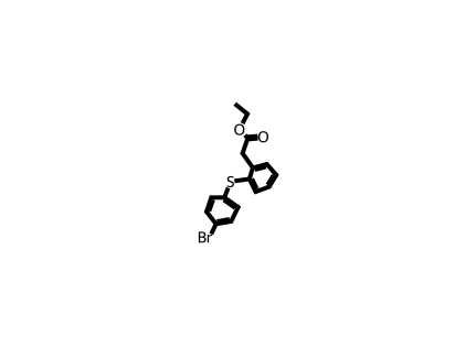 CCOC(=O)Cc1ccccc1Sc1ccc(Br)cc1